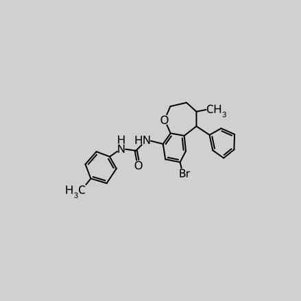 Cc1ccc(NC(=O)Nc2cc(Br)cc3c2OCCC(C)C3c2ccccc2)cc1